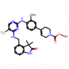 COc1cc(C2=CCN(C(=O)OC(C)(C)C)CC2)ccc1Nc1ncc(C(F)(F)F)c(NCc2cccc3c2C(C)(C)C(=O)N3)n1